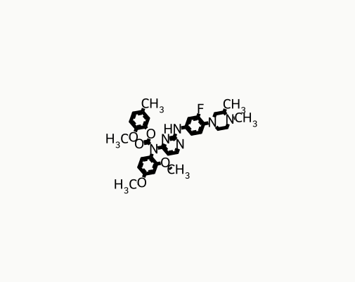 COc1ccc(N(C(=O)Oc2cc(C)ccc2OC)c2ccnc(Nc3ccc(N4CCN(C)C(C)C4)c(F)c3)n2)c(OC)c1